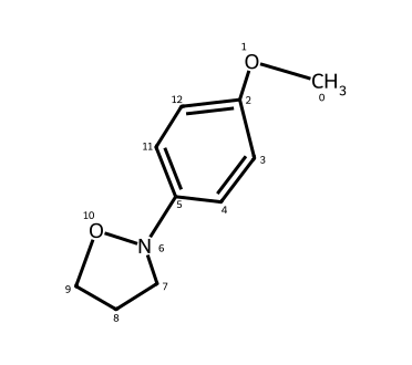 COc1ccc(N2CCCO2)cc1